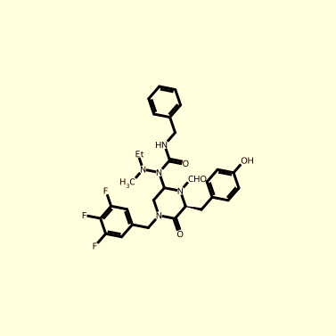 CCN(C)N(C(=O)NCc1ccccc1)C1CN(Cc2cc(F)c(F)c(F)c2)C(=O)[C@H](Cc2ccc(O)cc2)N1C=O